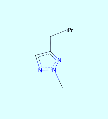 CC(C)Cc1cnn(C)n1